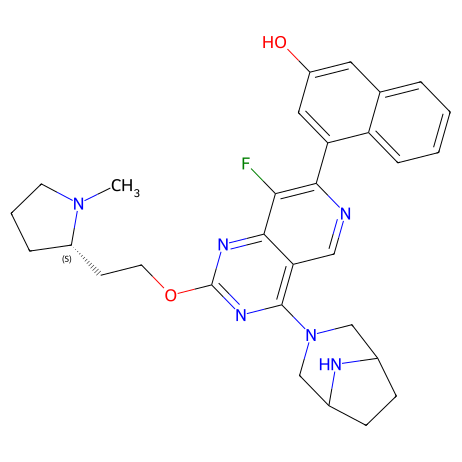 CN1CCC[C@H]1CCOc1nc(N2CC3CCC(C2)N3)c2cnc(-c3cc(O)cc4ccccc34)c(F)c2n1